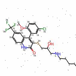 CCCCCNCC(O)CSc1c(-c2cc(Cl)ccc2OC)c2cc(C(F)(F)F)ccc2[nH]c1=O